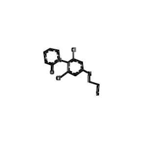 O=c1ccccn1-c1c(Cl)cc(N=CC=S)cc1Cl